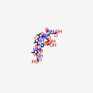 CCC[C@H](NC(=O)[C@@H]1C[C@@H](OCC(=O)O)CN1C(=O)[C@@H](NC(=O)[C@@H](NC(=O)[C@H](CCC(=O)O)NC(=O)[C@H](CCC(=O)O)NC(C)=O)C(C)C)C(C)C)C(=O)C(=O)NCC(=O)O